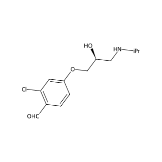 CC(C)NC[C@H](O)COc1ccc(C=O)c(Cl)c1